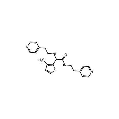 Cc1ccsc1C(NCCc1ccncc1)C(=O)NCCc1ccncc1